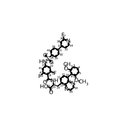 COc1cccc(OC)c1-c1ccc(C[C@H](NC(=O)c2c(F)cc(NS(=O)(=O)c3ccc(-c4ccnc(F)c4)cc3)cc2F)C(=O)O)c2nccnc12